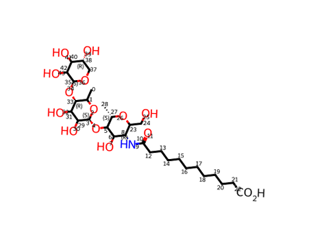 CC1O[C@@H](OC2C(O)[C@@H](NC(=O)CCCCCCCCCCC(=O)O)C(CO)O[C@H]2C)C(O)C(O)[C@H]1O[C@@H]1OC[C@@H](O)C(O)C1O